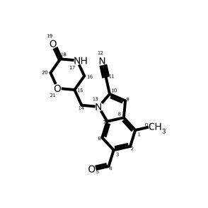 Cc1cc(C=O)cc2c1cc(C#N)n2CC1CNC(=O)CO1